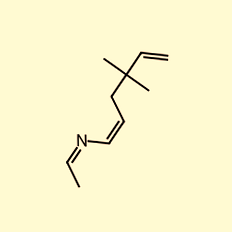 C=CC(C)(C)C/C=C\N=C/C